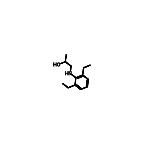 CCc1cccc(CC)c1NCC(C)O